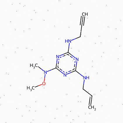 C#CCNc1nc(NCC=C)nc(N(C)OC)n1